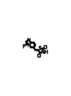 O=C1NC(=O)/C(=C/c2ccc3ncc(F)n3c2)S1